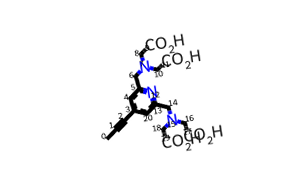 CC#Cc1cc(CN(CC(=O)O)CC(=O)O)nc(CN(CC(=O)O)CC(=O)O)c1